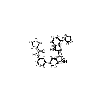 O=C(Nc1cncc(-c2cnc3[nH]nc(-c4nc5c(-c6ccsc6)cccc5[nH]4)c3c2)c1)C1CCCC1